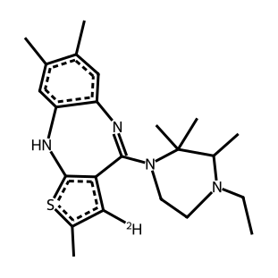 [2H]c1c(C)sc2c1C(N1CCN(CC)C(C)C1(C)C)=Nc1cc(C)c(C)cc1N2